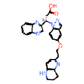 O=C(O)C[C@@H](c1cnc2ccccc2n1)n1ncc2cc(OCCc3ccc4c(n3)CCCN4)ccc21